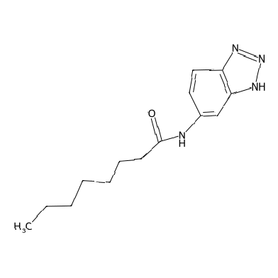 CCCCCCCC(=O)Nc1ccc2nn[nH]c2c1